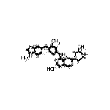 Cc1cc(Nc2ncnc3cnc(N4CCNC(C)C4)nc23)ccc1Cc1ccc2c(c1)ncn2C.Cl